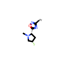 CC(C)c1noc([C@@H]2C[C@H](F)CN2C)n1